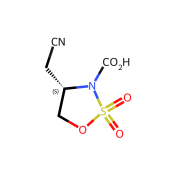 N#CC[C@H]1COS(=O)(=O)N1C(=O)O